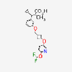 C[C@H](C(=O)O)C(c1cccc(OCC2CC(Oc3ccc(OC(F)F)nc3)C2)c1)C1CC1